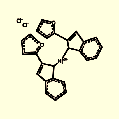 C1=C(c2ccco2)[CH]([Hf+2][CH]2C(c3ccco3)=Cc3ccccc32)c2ccccc21.[Cl-].[Cl-]